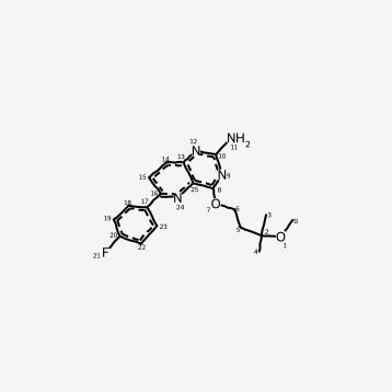 COC(C)(C)CCOc1nc(N)nc2ccc(-c3ccc(F)cc3)nc12